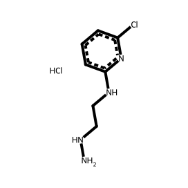 Cl.NNCCNc1cccc(Cl)n1